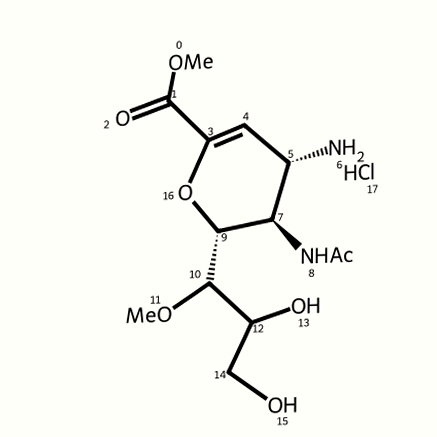 COC(=O)C1=C[C@H](N)[C@@H](NC(C)=O)[C@H](C(OC)C(O)CO)O1.Cl